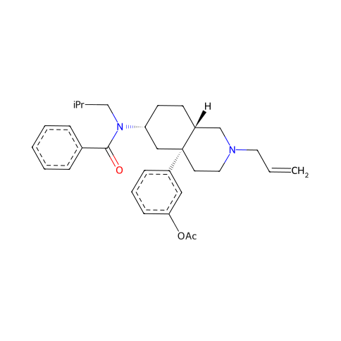 C=CCN1CC[C@@]2(c3cccc(OC(C)=O)c3)C[C@H](N(CC(C)C)C(=O)c3ccccc3)CC[C@@H]2C1